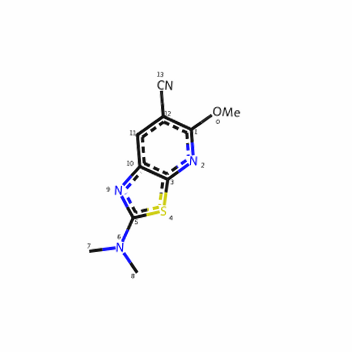 COc1nc2sc(N(C)C)nc2cc1C#N